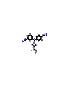 CC[C@H](C)C1CN(C(c2ccc(C#N)cc2)c2cccc(C#N)c2)C1